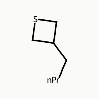 CCCCC1CSC1